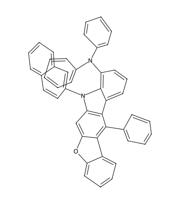 c1ccc(-c2c3c(cc4c2c2cccc(N(c5ccccc5)c5ccccc5)c2n4-c2ccc4ccccc4c2)oc2ccccc23)cc1